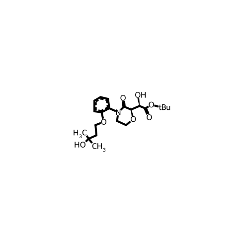 CC(C)(O)CCOc1ccccc1N1CCO[C@H]([C@@H](O)C(=O)OC(C)(C)C)C1=O